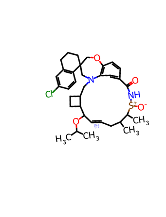 CC(C)OC1/C=C/CC(C)C(C)[S+]([O-])NC(=O)c2ccc3c(c2)N(CC2CCC21)CC1(CCCc2cc(Cl)ccc21)CO3